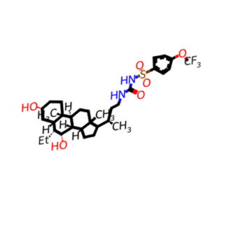 CC[C@H]1[C@@H](O)[C@H]2[C@@H]3CCC([C@H](C)CCNC(=O)NS(=O)(=O)c4ccc(OC(F)(F)F)cc4)C3(C)CC[C@@H]2[C@@]2(C)CC[C@@H](O)C[C@@H]12